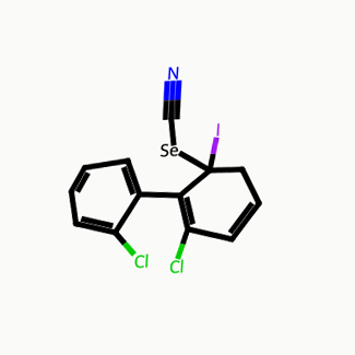 N#C[Se]C1(I)CC=CC(Cl)=C1c1ccccc1Cl